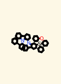 c1ccc(-c2ccccc2-n2c3ccccc3c3cccc(-n4c5ccccc5c5ccc([Si]6(c7ccccc7)c7ccccc7Oc7ccccc76)cc54)c32)cc1